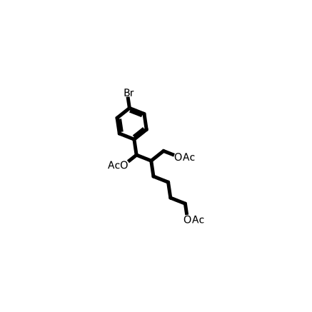 CC(=O)OCCCCC(COC(C)=O)C(OC(C)=O)c1ccc(Br)cc1